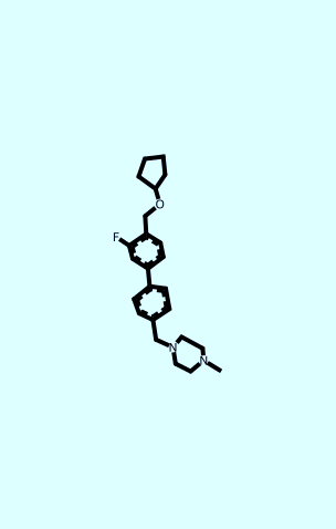 CN1CCN(Cc2ccc(-c3ccc(COC4CCCC4)c(F)c3)cc2)CC1